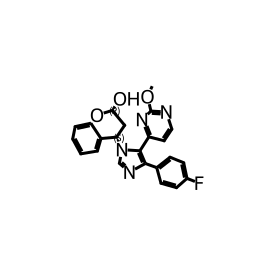 COc1nccc(-c2c(-c3ccc(F)cc3)ncn2[C@H]2C[C@H](O)Oc3ccccc32)n1